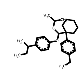 CCc1ccc(C2(C(Oc3ccc(C(C)CC)cc3)OC(C)C)CCCCC2)cc1